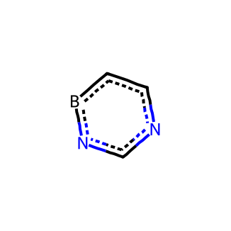 b1ccncn1